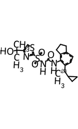 C[C@H](c1ccc2c(c1NC(=O)NS(=O)(=O)c1nc(C(C)(C)O)cs1)CCC2)C1CC1